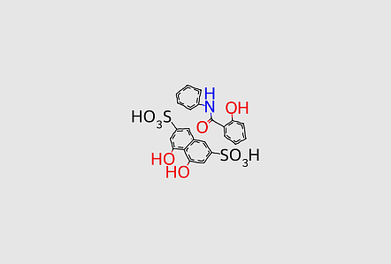 O=C(Nc1ccccc1)c1ccccc1O.O=S(=O)(O)c1cc(O)c2c(O)cc(S(=O)(=O)O)cc2c1